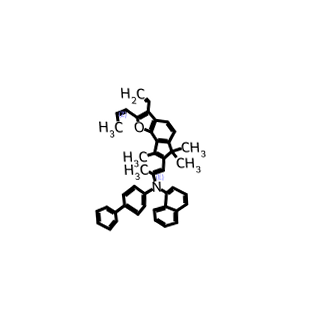 C=Cc1c(/C=C\C)oc2c3c(ccc12)C(C)(C)C(/C=C(\C)N(c1ccc(-c2ccccc2)cc1)c1cccc2ccccc12)=C3C